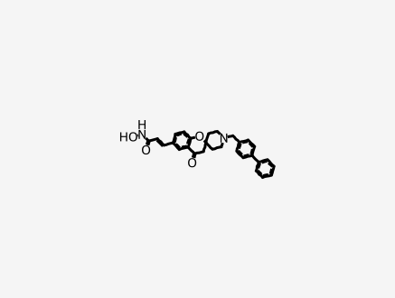 O=C(/C=C/c1ccc2c(c1)C(=O)CC1(CCN(Cc3ccc(-c4ccccc4)cc3)CC1)O2)NO